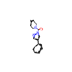 O=C(N1CCCCC1)n1cc(-c2ccccc2)cn1